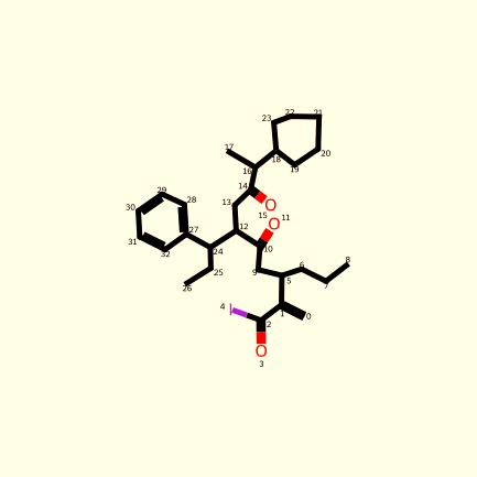 C=C(C(=O)I)C(CCC)CC(=O)C(CC(=O)C(C)C1CCCCC1)C(CC)c1ccccc1